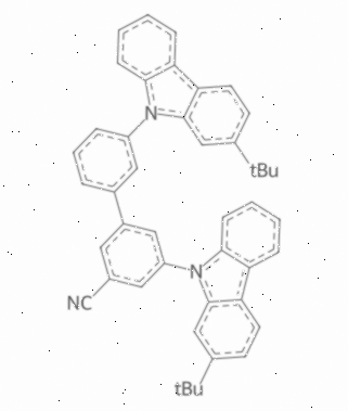 CC(C)(C)c1ccc2c3ccccc3n(-c3cccc(-c4cc(C#N)cc(-n5c6ccccc6c6ccc(C(C)(C)C)cc65)c4)c3)c2c1